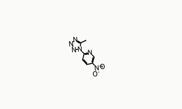 Cc1nnnn1-c1ccc([N+](=O)[O-])cn1